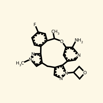 CC1Oc2cc(cnc2N)-c2c(cnn2C2COC2)Cc2cn(C)nc2-c2ccc(F)cc21